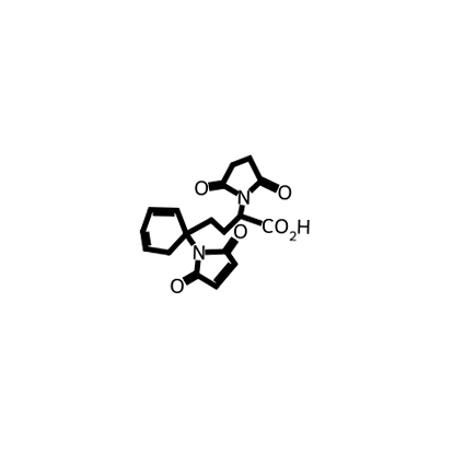 O=C(O)C(CCC1(N2C(=O)C=CC2=O)C=CC=CC1)N1C(=O)CCC1=O